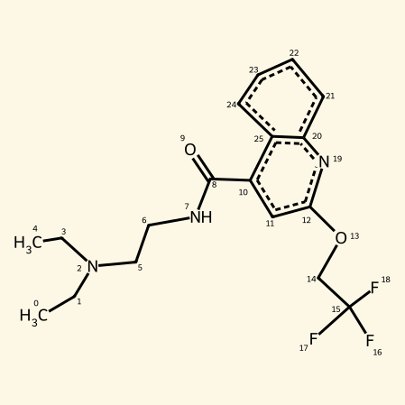 CCN(CC)CCNC(=O)c1cc(OCC(F)(F)F)nc2ccccc12